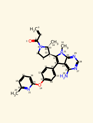 C=CC(=O)N1CC[C@H](c2c(-c3ccc(Oc4cccc(C)n4)cc3)c3c(N)ncnc3n2C)[C@H]1C